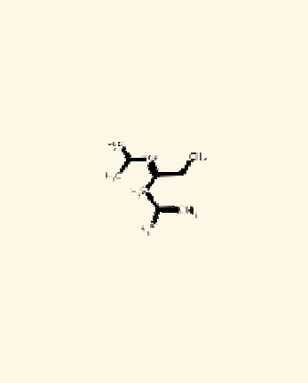 CCC(=[SiH]C(C)C)[SiH2]C(C)C